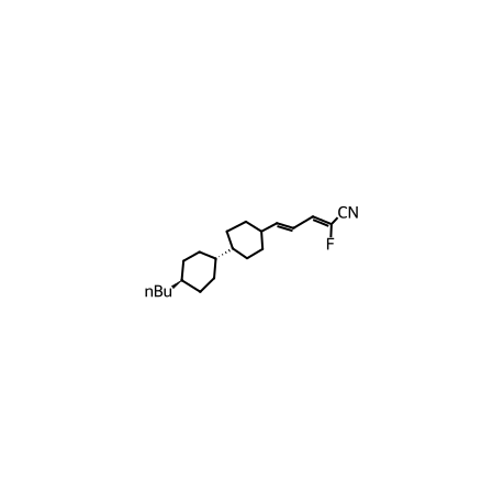 CCCC[C@H]1CC[C@H](C2CCC(/C=C/C=C(\F)C#N)CC2)CC1